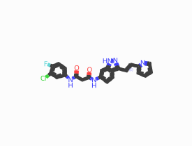 O=C(CC(=O)Nc1ccc2c(/C=C/c3ccccn3)n[nH]c2c1)Nc1ccc(F)c(Cl)c1